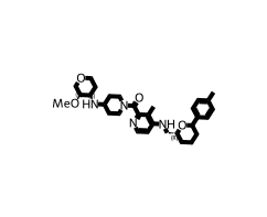 CO[C@@H]1COCC[C@@H]1NC1CCN(C(=O)c2nccc(NC[C@H]3CCCC(c4ccc(C)cc4)O3)c2C)CC1